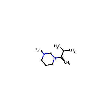 C=C(C(C)C)N1CCCN(C)C1